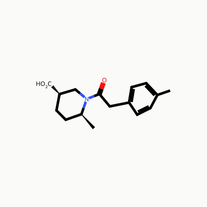 Cc1ccc(CC(=O)N2C[C@H](C(=O)O)CC[C@@H]2C)cc1